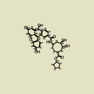 O=C(NC1CCC(C(=O)OC2CCCC2)CC(S)C(S)C1)c1ccc(C(=O)O)c(-c2c3ccc(=O)cc-3oc3cc(O)ccc23)c1